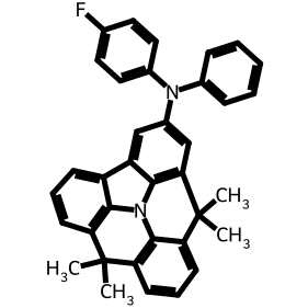 CC1(C)c2cccc3c2-n2c4c1cccc4c1cc(N(c4ccccc4)c4ccc(F)cc4)cc(c12)C3(C)C